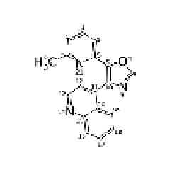 Cc1cccc(-c2ocnc2-c2ccnc3ccccc23)n1